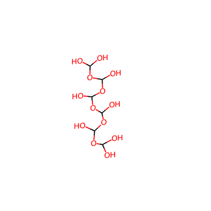 OC(O)OC(O)OC(O)OC(O)OC(O)OC(O)O